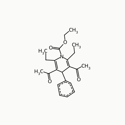 CCOC(=O)N1C(CC)=C(C(C)=O)C(c2ccccc2)C(C(C)=O)=C1CC